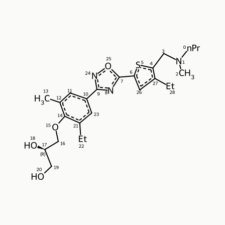 CCCN(C)Cc1sc(-c2nc(-c3cc(C)c(OC[C@H](O)CO)c(CC)c3)no2)cc1CC